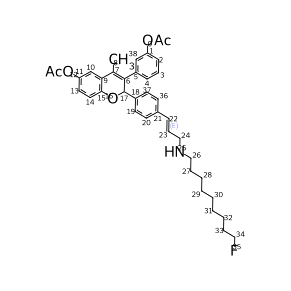 CC(=O)Oc1cccc(C2=C(C)c3cc(OC(C)=O)ccc3OC2c2ccc(/C=C/CNCCCCCCCCCF)cc2)c1